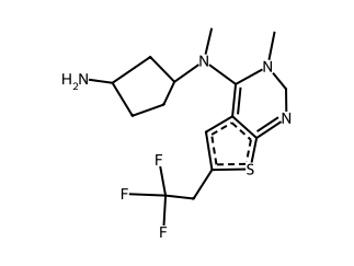 CN1CN=c2sc(CC(F)(F)F)cc2=C1N(C)C1CCC(N)C1